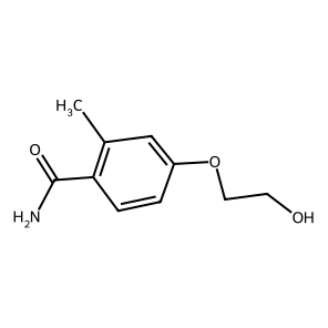 Cc1cc(OCCO)ccc1C(N)=O